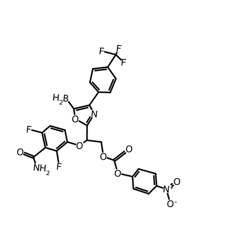 Bc1oc(C(COC(=O)Oc2ccc([N+](=O)[O-])cc2)Oc2ccc(F)c(C(N)=O)c2F)nc1-c1ccc(C(F)(F)F)cc1